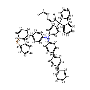 C/C=C\C=C/C(C)C1(c2ccc(N(c3ccc(-c4ccc(-c5ccccc5)cc4)cc3)c3ccc(C4CC=Cc5sc6ccccc6c54)cc3)cc2)c2ccccc2-c2ccccc21